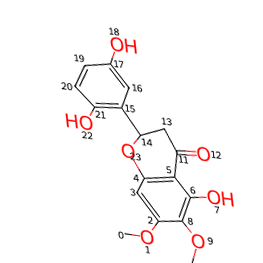 COc1cc2c(c(O)c1OC)C(=O)CC(c1cc(O)ccc1O)O2